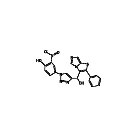 O=[N+]([O-])c1cc(-n2cc(C(O)c3c(-c4ccccc4)sc4cncn34)nn2)ccc1O